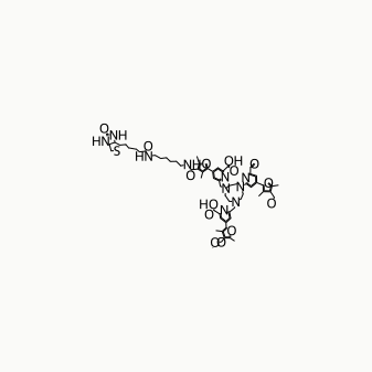 COOc1c(C)oc(-c2cc(CN3CCN(Cc4cc(-c5oc(C)c(C(=O)NCCCCCCNC(=O)CCCCC6SCC7NC(=O)NC76)c5C)cc(C(=O)O)n4)CCN(c4cc(-c5oc(C)c(C=O)c5C)cc(C=O)n4)CC3)nc(C(=O)O)c2)c1C